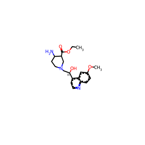 CCOC(=O)C1CN(C[C@@H](O)c2ccnc3ccc(OC)cc23)CCC1N